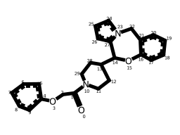 O=C(COc1ccccc1)N1CCC(C2Oc3ccccc3Cn3cccc32)CC1